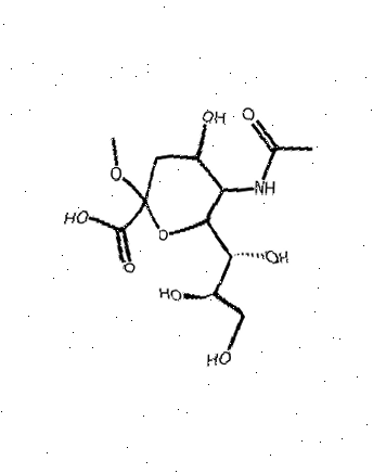 COC1(C(=O)O)CC(O)C(NC(C)=O)C([C@H](O)[C@H](O)CO)O1